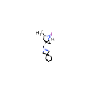 C[C@@H]1C[C@]2(CN3CC4(CCCC4)C3)C[C@@H]2N1I